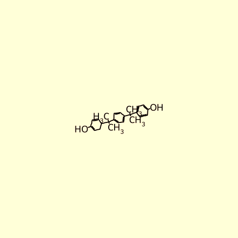 CC(C)(c1ccc(O)cc1)c1ccc(C(C)(C)C2C=CC(O)=CC2)cc1